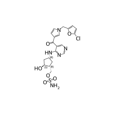 NS(=O)(=O)OC[C@H]1C[C@@H](Nc2ncncc2C(=O)c2ccn(Cc3ccc(Cl)o3)c2)C[C@@H]1O